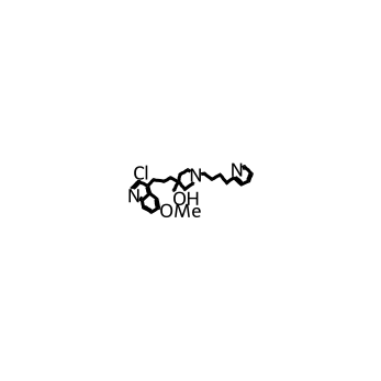 COc1ccc2ncc(Cl)c(CCCC3(CO)CCN(CCCCc4ccccn4)CC3)c2c1